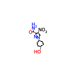 NC(=O)c1nn(-c2ccc(CO)cc2)cc1[N+](=O)[O-]